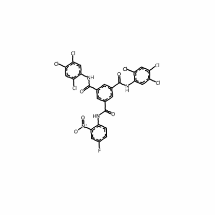 O=C(Nc1cc(Cl)c(Cl)cc1Cl)c1cc(C(=O)Nc2cc(Cl)c(Cl)cc2Cl)cc(C(=O)Nc2ccc(F)cc2[N+](=O)[O-])c1